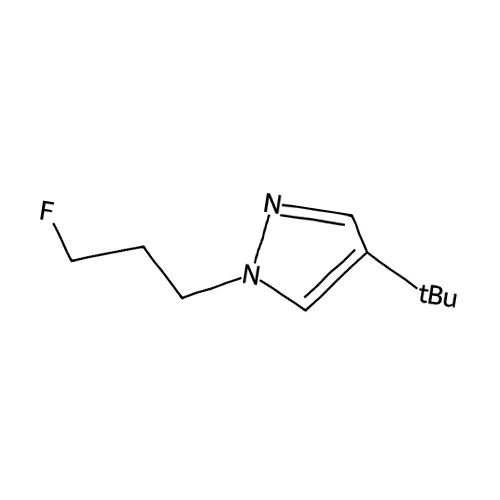 CC(C)(C)c1cnn(CCCF)c1